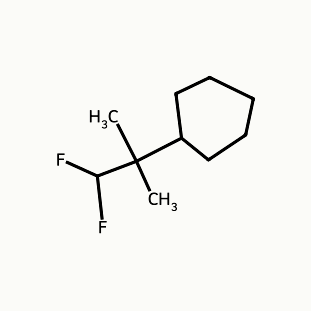 CC(C)(C(F)F)C1CCCCC1